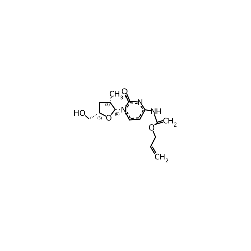 C=CCOC(=C)Nc1ccn([C@@H]2O[C@H](CO)C[C@@H]2C)c(=O)n1